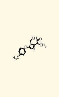 CCn1c(Oc2ccc(C)cc2)cnc1C(C)C=O